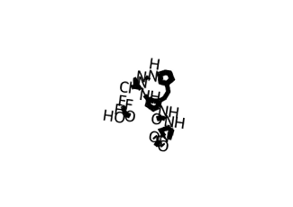 CS(=O)(=O)N1CC[C@@H](NC(=O)Nc2ccc3cc2CCc2cccc(c2)Nc2ncc(Cl)c(n2)N3)C1.O=C(O)C(F)(F)F